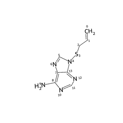 C=CCSn1cnc2c(N)ncnc21